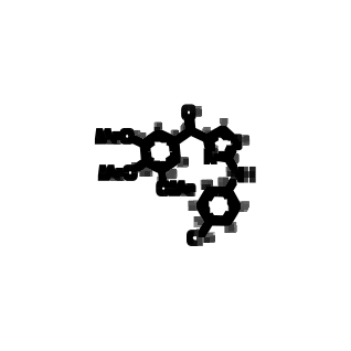 COc1cc(C(=O)c2csc(Nc3ccc(Cl)cc3)n2)cc(OC)c1OC